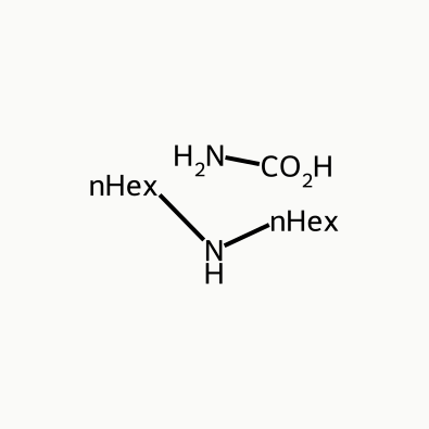 CCCCCCNCCCCCC.NC(=O)O